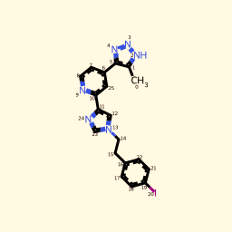 Cc1[nH]nnc1-c1ccnc(-c2cn(CCc3ccc(I)cc3)cn2)c1